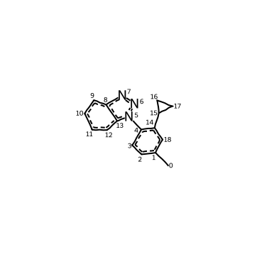 Cc1ccc(-n2nnc3ccccc32)c(C2CC2)c1